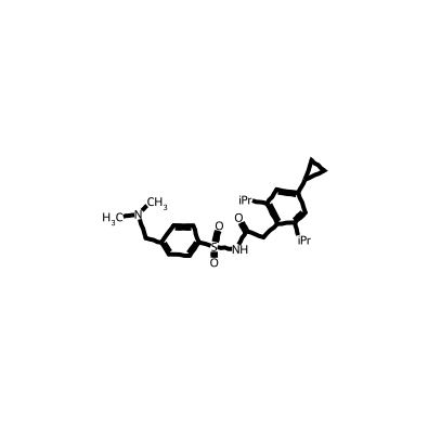 CC(C)c1cc(C2CC2)cc(C(C)C)c1CC(=O)NS(=O)(=O)c1ccc(CN(C)C)cc1